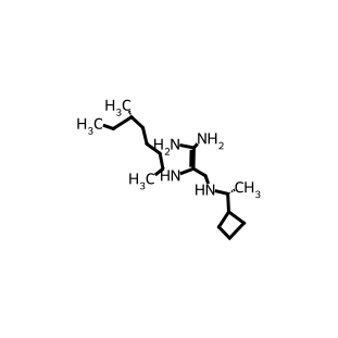 CC[C@H](C)CCCC(C)NC(CN[C@H](C)C1CCC1)=C(N)N